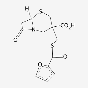 O=C(SCC1(C(=O)O)CS[C@@H]2CC(=O)N2C1)c1ccco1